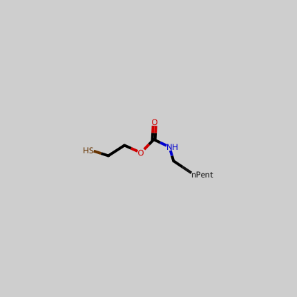 CCCCCCNC(=O)OCCS